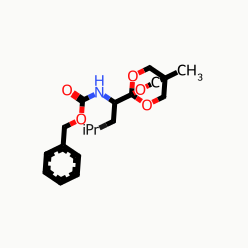 CC(C)CC(NC(=O)OCc1ccccc1)C12OCC(C)(CO1)CO2